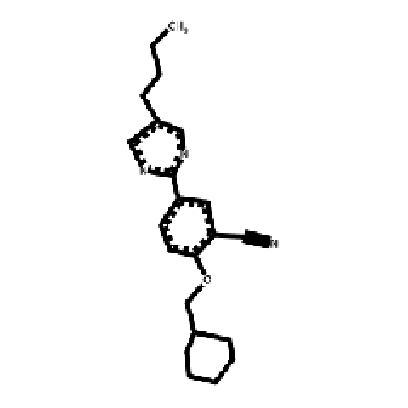 CCCCc1cnc(-c2ccc(OCC3CC[CH]CC3)c(C#N)c2)nc1